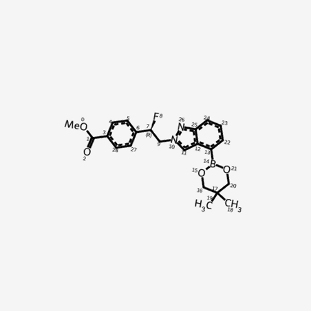 COC(=O)c1ccc([C@@H](F)Cn2cc3c(B4OCC(C)(C)CO4)cccc3n2)cc1